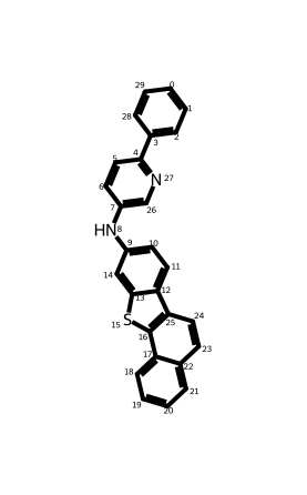 c1ccc(-c2ccc(Nc3ccc4c(c3)sc3c5ccccc5ccc43)cn2)cc1